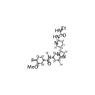 CCNC(=O)Nc1ccc(-c2cnc3c(C)cc(N(C)C(=O)c4ccc(F)c(OC)c4)cn23)cn1